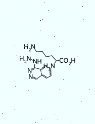 NCCCCC(N)C(=O)O.NNc1nncc2ccccc12